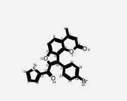 Cc1cc(=O)oc2c1ccc1oc(C(=O)c3cccs3)c(-c3ccc(Br)cc3)c12